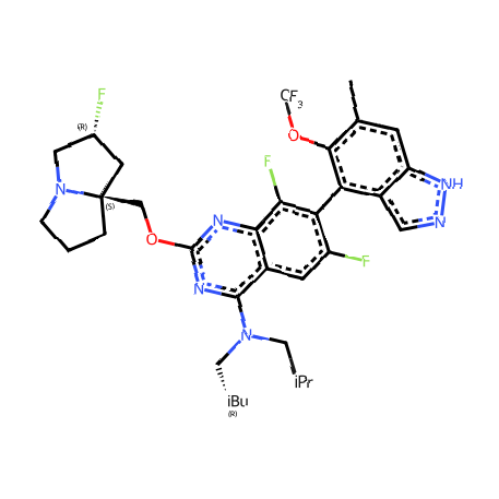 CC[C@@H](C)CN(CC(C)C)c1nc(OC[C@@]23CCCN2C[C@H](F)C3)nc2c(F)c(-c3c(OC(F)(F)F)c(C)cc4[nH]ncc34)c(F)cc12